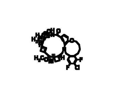 CO[C@H]1C2=C[C@@H](C2)[C@H](C)[C@@H](C)S(=O)(=O)NC(=O)c2ccc3c(c2)N(Cc2cc(F)c(Cl)c(F)c2CCCCO3)C[C@@H]2CC[C@H]21